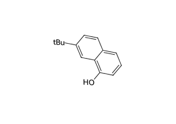 CC(C)(C)c1ccc2cccc(O)c2c1